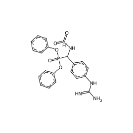 N=C(N)Nc1ccc(C(N[SH](=O)=O)P(=O)(Oc2ccccc2)Oc2ccccc2)cc1